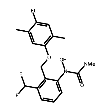 CCc1cc(C)c(OCc2c(C(F)F)cccc2N(O)C(=O)NC)cc1C